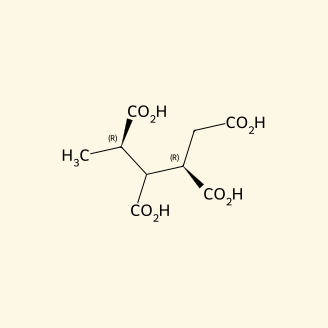 C[C@@H](C(=O)O)C(C(=O)O)[C@@H](CC(=O)O)C(=O)O